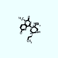 CCC[C@@H]1CN(c2nc(=O)n(C)c3ccc(Cl)nc23)[C@@H](C)CN1.Cl